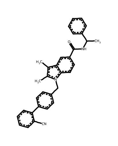 Cc1c(C)n(Cc2ccc(-c3ccccc3C#N)cc2)c2ccc(C(=O)NC(C)c3ccccc3)cc12